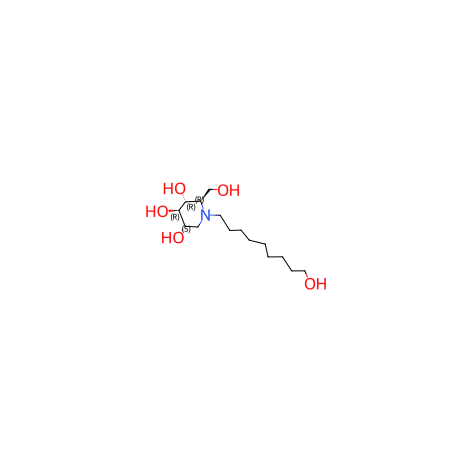 OCCCCCCCCCN1C[C@H](O)[C@@H](O)[C@H](O)[C@H]1CO